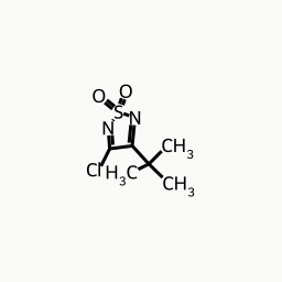 CC(C)(C)C1=NS(=O)(=O)N=C1Cl